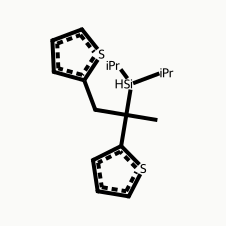 CC(C)[SiH](C(C)C)C(C)(Cc1cccs1)c1cccs1